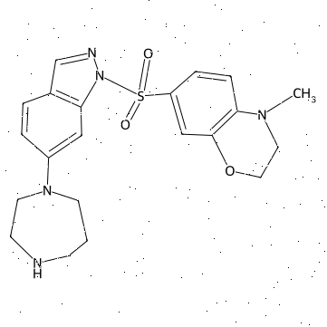 CN1CCOc2cc(S(=O)(=O)n3ncc4ccc(N5CCCNCC5)cc43)ccc21